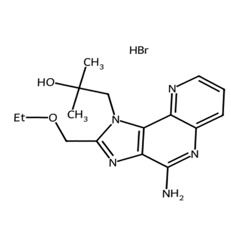 Br.CCOCc1nc2c(N)nc3cccnc3c2n1CC(C)(C)O